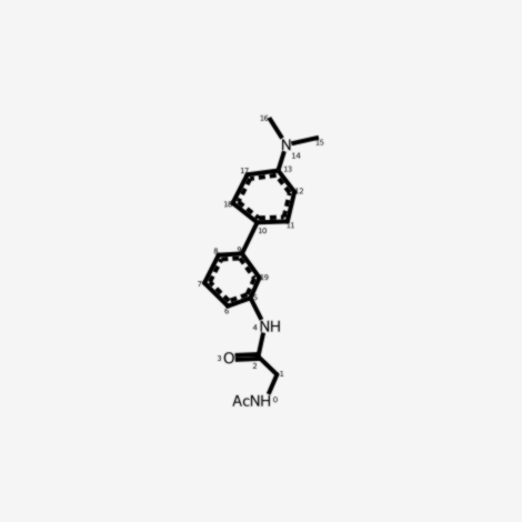 CC(=O)NCC(=O)Nc1cccc(-c2ccc(N(C)C)cc2)c1